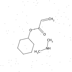 C=CC(=O)OC1CCCCC1.CNC